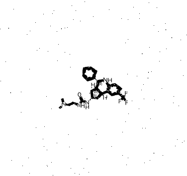 CN(C)CCNC(=O)N[C@@H]1C[C@@H]2[C@H](C1)c1cc(C(F)(F)F)ccc1N[C@H]2c1ccccc1